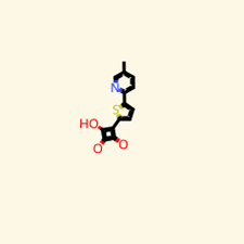 Cc1ccc(-c2ccc(-c3c(O)c(=O)c3=O)s2)nc1